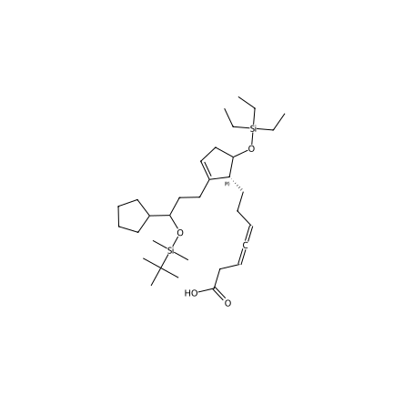 CC[Si](CC)(CC)OC1CC=C(CCC(O[Si](C)(C)C(C)(C)C)C2CCCC2)[C@H]1CCC=C=CCC(=O)O